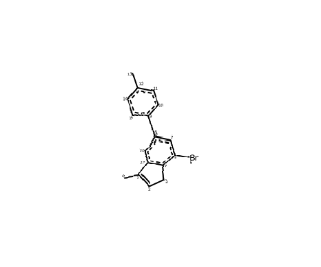 CC1=CCc2c(Br)cc(-c3ccc(C)cc3)cc21